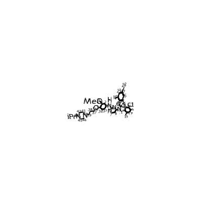 COc1cc(Nc2nccc(N(Cc3cc(Cl)ccc3C)C(=O)Oc3c(C)cc(C)cc3C)n2)ccc1OCCCN1CCN(C(C)C)CC1